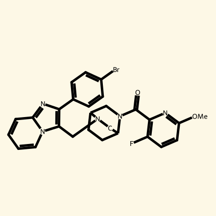 COc1ccc(F)c(C(=O)N2CC3CCC2CN3Cc2c(-c3ccc(Br)cc3)nc3ccccn23)n1